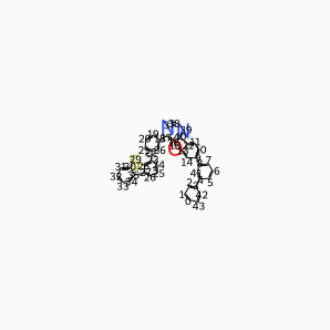 c1ccc(-c2cccc(-c3ccc4c(c3)oc3c(-c5cccc(-c6cccc7c6sc6ccccc67)c5)ncnc34)c2)cc1